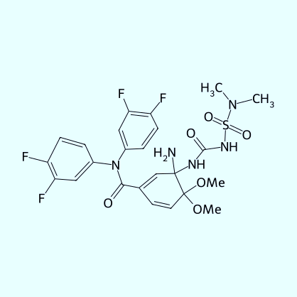 COC1(OC)C=CC(C(=O)N(c2ccc(F)c(F)c2)c2ccc(F)c(F)c2)=CC1(N)NC(=O)NS(=O)(=O)N(C)C